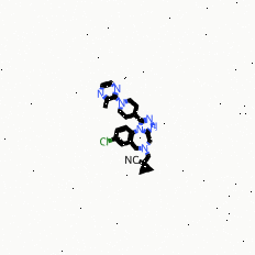 Cc1nccnc1N1CCC(c2nnc3n2-c2ccc(Cl)cc2CN(CC2(C#N)CC2)C3)CC1